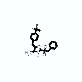 C=C1NC(C(Cl)(Cl)Cc2ccccc2)O/C1=C\c1ccc(C(F)(F)F)cc1